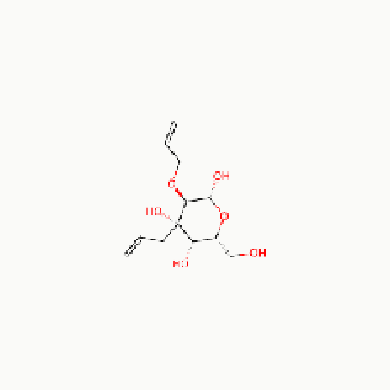 C=CCO[C@H]1[C@H](O)O[C@H](CO)[C@H](O)[C@@]1(O)CC=C